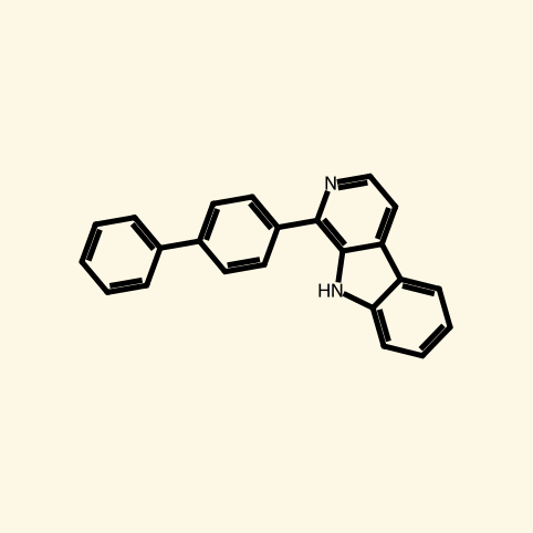 c1ccc(-c2ccc(-c3nccc4c3[nH]c3ccccc34)cc2)cc1